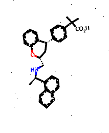 C[C@@H](NC[C@H]1C[C@@H](c2ccc(C(C)(C)C(=O)O)cc2)c2ccccc2O1)c1cccc2ccccc12